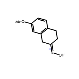 COc1ccc2c(c1)C/C(=N/O)CC2